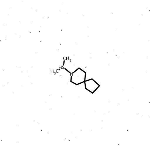 C[SH](C)N1CCC2(CCCC2)CC1